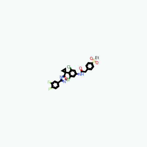 CCS(=O)(=O)c1ccc(CC(=O)Nc2cc(Cl)c(C3(c4nc(-c5ccc(F)c(F)c5)no4)CC3)c(Cl)c2)cc1